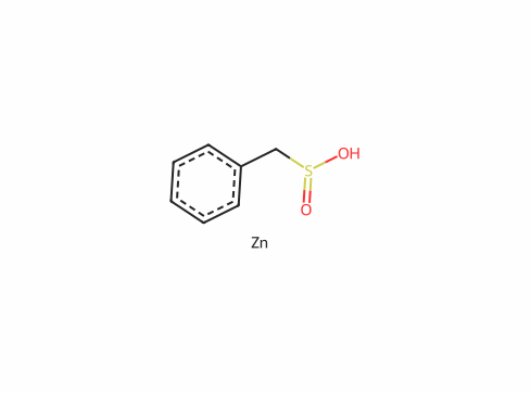 O=S(O)Cc1ccccc1.[Zn]